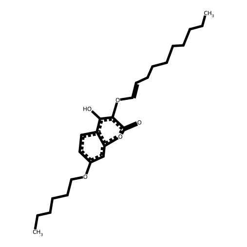 CCCCCCCCC=COc1c(O)c2ccc(OCCCCCC)cc2oc1=O